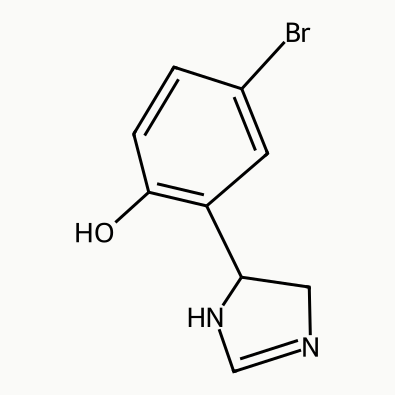 Oc1ccc(Br)cc1C1CN=CN1